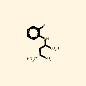 N[C@@H](CC(Nc1ccccc1F)C(=O)O)C(=O)O